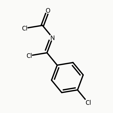 O=C(Cl)N=C(Cl)c1ccc(Cl)cc1